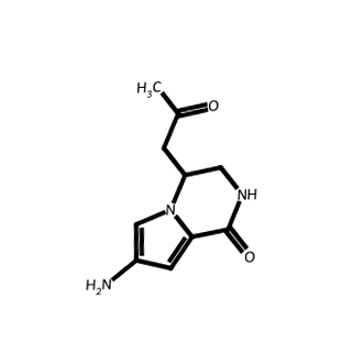 CC(=O)CC1CNC(=O)c2cc(N)cn21